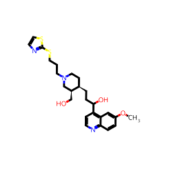 COc1ccc2nccc(C(O)CC[C@@H]3CCN(CCCSc4nccs4)C[C@@H]3CO)c2c1